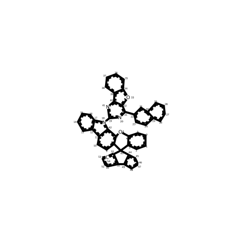 c1ccc2c(c1)Oc1c(ccc3c4ccccc4n(-c4nc(-c5ccc6ccccc6c5)c5oc6ccccc6c5n4)c13)C21c2ccccc2-c2ccccc21